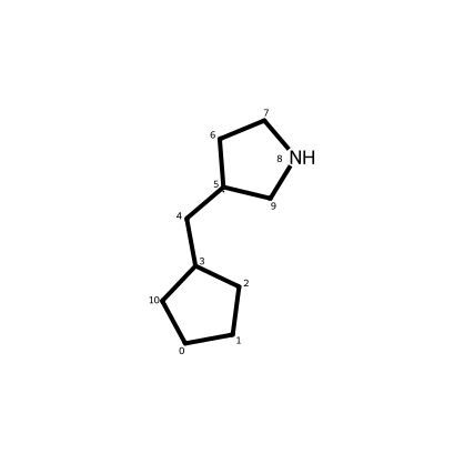 C1CCC(C[C]2CCNC2)C1